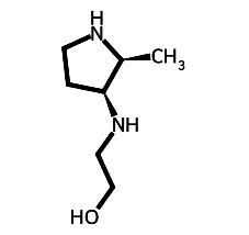 C[C@@H]1NCC[C@@H]1NCCO